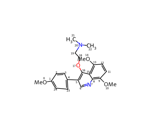 COc1ccc(-c2cnc3c(OC)ccc(OC)c3c2OCCN(C)C)cc1